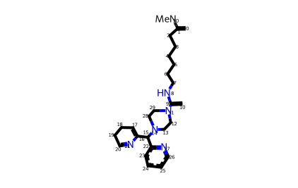 C=C(CCCCCCNC(=C)N1CCN(C(C2=CCCC=N2)c2ccccn2)CC1)NC